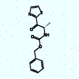 C[C@H](NC(=O)OCc1ccccc1)C(=O)c1nccs1